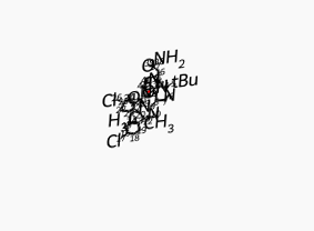 CCOc1nc(C(C)(C)C)ncc1C1=NC(C)(c2ccc(Cl)cc2)C(C)(c2ccc(Cl)cc2)N1C(=O)N1CCN(CC(N)=O)CC1